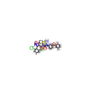 Cc1onc(-c2c(Cl)cccc2Cl)c1C(=O)N(S)C(=O)Nc1cccc(Oc2ccccc2)c1